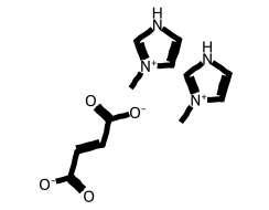 C[n+]1cc[nH]c1.C[n+]1cc[nH]c1.O=C([O-])/C=C/C(=O)[O-]